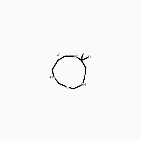 [Li+].[Li][C]1([Li])CCNCCCNCCC[N-]1